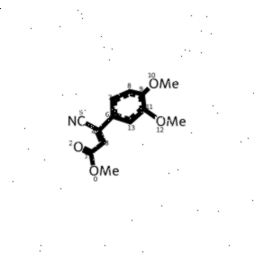 COC(=O)C=C(C#N)c1ccc(OC)c(OC)c1